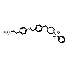 O=C(O)CCc1ccc(OCc2ccc(CN3CCN(S(=O)(=O)c4ccccc4)CC3)cc2)cc1